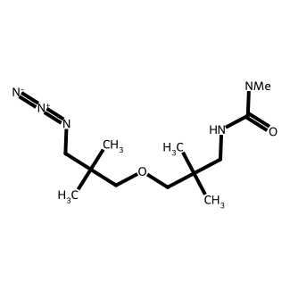 CNC(=O)NCC(C)(C)COCC(C)(C)CN=[N+]=[N-]